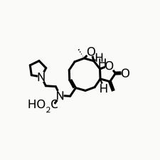 C=C1C(=O)O[C@H]2[C@H]1CC/C(CN(CCN1CCCC1)C(=O)O)=C\CC[C@@]1(C)O[C@@H]21